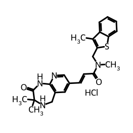 Cc1c(CN(C)C(=O)/C=C/c2cnc3c(c2)CNC(C)(C)C(=O)N3)sc2ccccc12.Cl